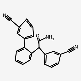 N#Cc1cccc(-c2ccccc2C(C(N)=O)c2cccc(C#N)c2)c1